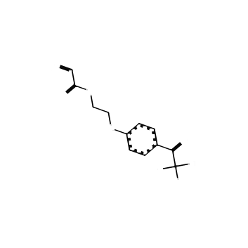 C=CC(=O)OCCSc1ccc(C(=O)C(C)(C)O)cc1